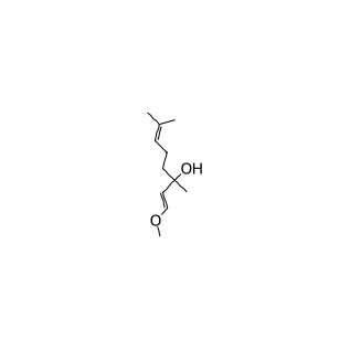 COC=CC(C)(O)CCC=C(C)C